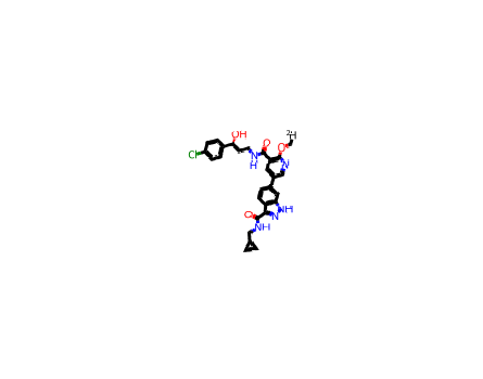 [2H]COc1ncc(-c2ccc3c(C(=O)NCC4CC4)n[nH]c3c2)cc1C(=O)NCC[C@H](O)c1ccc(Cl)cc1